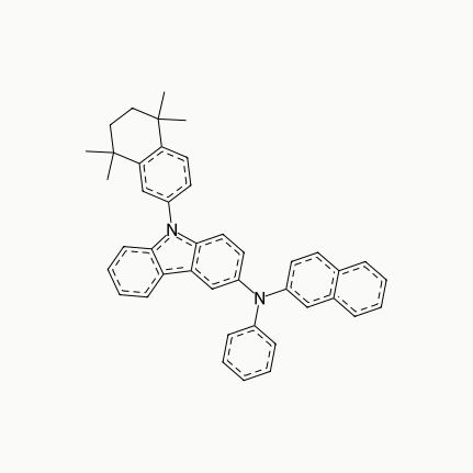 CC1(C)CCC(C)(C)c2cc(-n3c4ccccc4c4cc(N(c5ccccc5)c5ccc6ccccc6c5)ccc43)ccc21